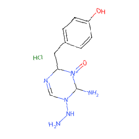 Cl.NNN1C=NC(Cc2ccc(O)cc2)[N+](=O)C1N